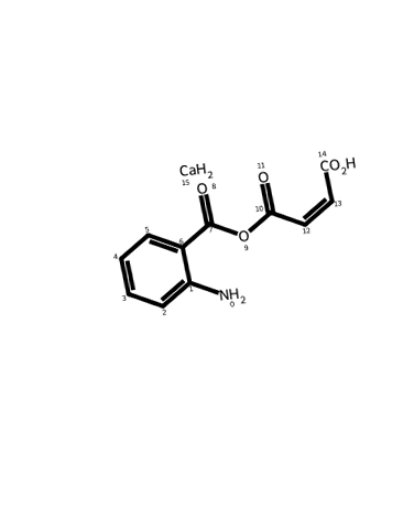 Nc1ccccc1C(=O)OC(=O)/C=C\C(=O)O.[CaH2]